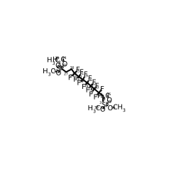 CO[Si](CCC(F)(F)C(F)(F)C(F)(F)C(F)(F)C(F)(F)C(F)(F)C(F)(F)CC[Si](OC)(OC)OC)(OC)OC